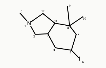 CN1CC2CC(I)CC(C)(C)C2C1